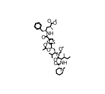 CC[C@H](C)[C@H](NC(=O)[C@H]1CCCCN1C)C(=O)N(COC)[C@H](C[C@@H](OC(C)=O)c1nc(C(=O)N[C@@H](Cc2ccccc2)C[C@H](C)C(=O)OC)cs1)C(C)C